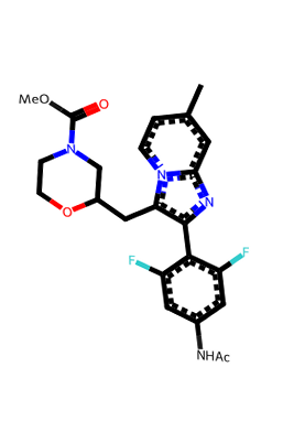 COC(=O)N1CCOC(Cc2c(-c3c(F)cc(NC(C)=O)cc3F)nc3cc(C)ccn23)C1